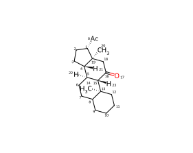 CC(=O)[C@H]1CC[C@H]2[C@@H]3CCC4CCCC[C@]4(C)[C@H]3C(=O)C[C@]12C